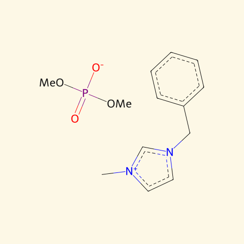 COP(=O)([O-])OC.C[n+]1ccn(Cc2ccccc2)c1